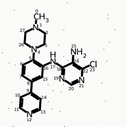 CN1CCN(c2ccc(-c3ccncc3)cc2Nc2ncnc(Cl)c2N)CC1